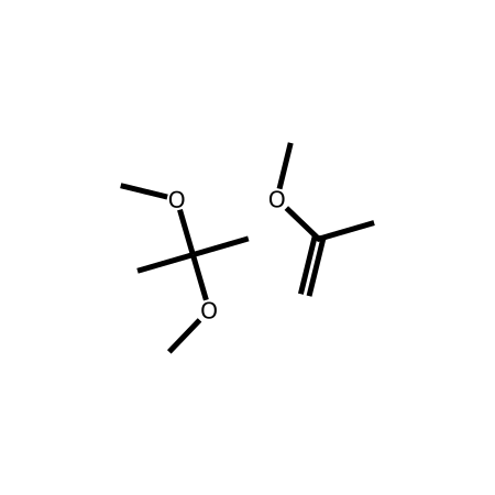 C=C(C)OC.COC(C)(C)OC